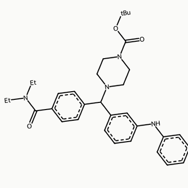 CCN(CC)C(=O)c1ccc(C(c2cccc(Nc3ccccc3)c2)N2CCN(C(=O)OC(C)(C)C)CC2)cc1